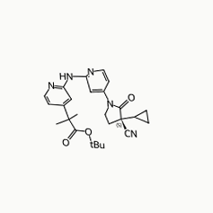 CC(C)(C)OC(=O)C(C)(C)c1ccnc(Nc2cc(N3CC[C@@](C#N)(C4CC4)C3=O)ccn2)c1